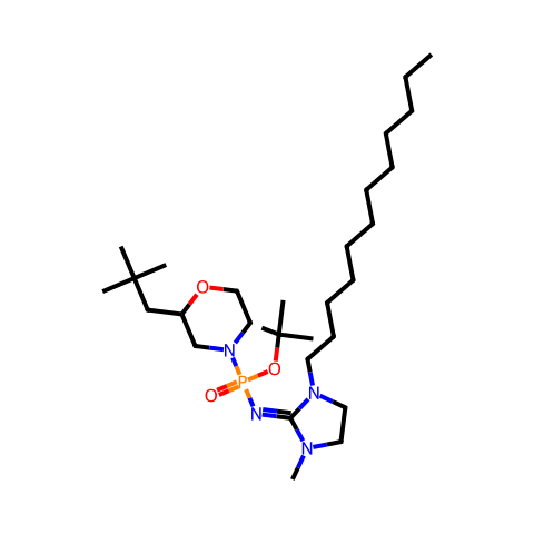 CCCCCCCCCCCCN1CCN(C)/C1=N/P(=O)(OC(C)(C)C)N1CCOC(CC(C)(C)C)C1